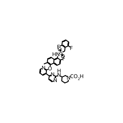 Cc1ccc2c(NS(=O)(=O)Cc3c(F)cccc3F)c(F)ccc2c1Oc1ncccc1-c1ccnc(NC2CCCN(C(=O)O)C2)n1